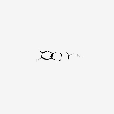 COC(=O)C[C@@H]1COc2cc(N)c(F)cc2O1